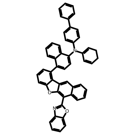 C1=CC(N(c2ccc(-c3ccccc3)cc2)c2ccc(-c3cccc4oc5c(-c6nc7ccccc7o6)c6ccccc6cc5c34)c3ccccc23)=CCC1